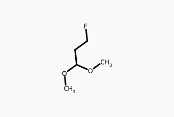 COC(CCF)OC